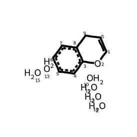 C1=COc2ccccc2C1.O.O.O.O.O.O